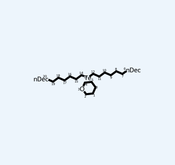 C1CCOCC1.CCCCCCCCCCCCCCCC[Te]CCCCCCCCCCCCCCCC